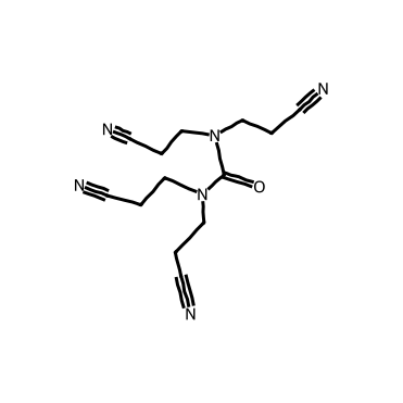 N#CCCN(CCC#N)C(=O)N(CCC#N)CCC#N